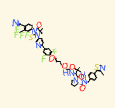 Cc1ncsc1-c1ccc(CNC(=O)[C@@H]2CCCN2C(=O)C(NC(=O)COCCCCOc2c(F)cc(-c3ccc(N4C(=S)N(c5ccc(C#N)c(C(F)(F)F)c5F)C(=O)C4(C)C)cn3)cc2F)C(C)(C)C)cc1